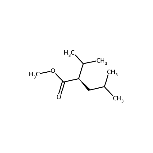 COC(=O)[C@H](CC(C)C)C(C)C